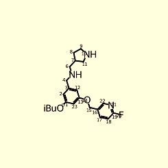 CC(C)COc1cc(CNCC2CCNC2)cc(OCc2ccc(F)nc2)c1